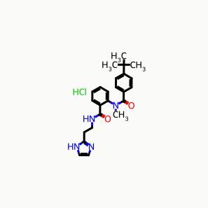 CN(C(=O)c1ccc(C(C)(C)C)cc1)c1ccccc1C(=O)NCCc1ncc[nH]1.Cl